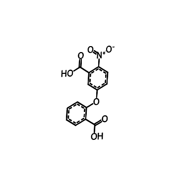 O=C(O)c1ccccc1Oc1ccc([N+](=O)[O-])c(C(=O)O)c1